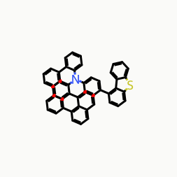 c1ccc(-c2ccccc2N(c2ccc(-c3cccc4sc5ccccc5c34)cc2)c2ccccc2-c2cccc3cccc(-c4ccccc4)c23)cc1